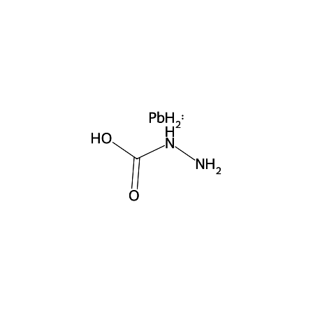 NNC(=O)O.[PbH2]